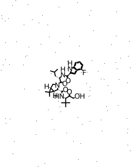 CC(C)C[C@H](NC(=O)c1cc2c(F)cccc2[nH]1)C(=O)N1C[C@H]2[C@@H]([C@H]1C(=O)N[C@H](C(=O)CO)C(C)(C)C)C2(C)C